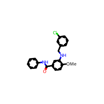 COc1ccc(C(=O)Nc2ccccc2)cc1NCc1cccc(Cl)c1